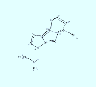 CC(N)Cn1ncc2c1=CC1=C(F)C=CCC=21